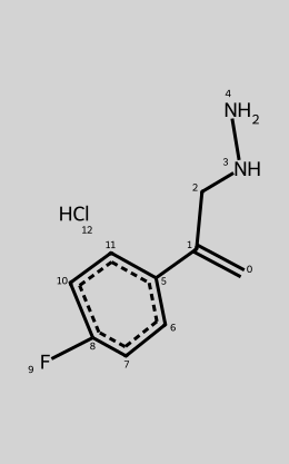 C=C(CNN)c1ccc(F)cc1.Cl